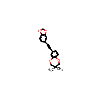 CC1(C)COc2ccc(C#Cc3ccc4c(c3)OCO4)cc2OC1